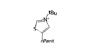 CCCCCc1c[n+](C(C)(C)C)cs1